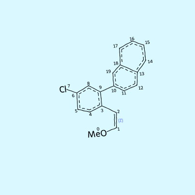 CO/C=C\c1ccc(Cl)cc1-c1ccc2ccccc2c1